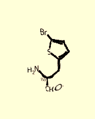 N[C@H]([C]=O)Cc1ccc(Br)s1